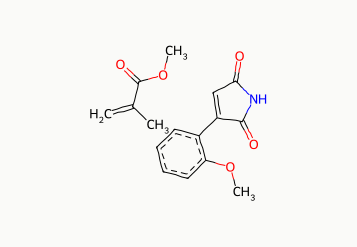 C=C(C)C(=O)OC.COc1ccccc1C1=CC(=O)NC1=O